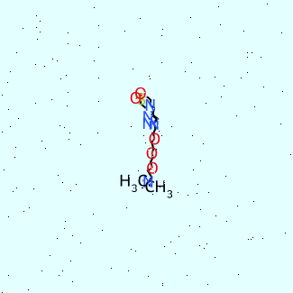 CN(C)CCOCCOCCOCCn1cc(CN2CCS(=O)(=O)CC2)nn1